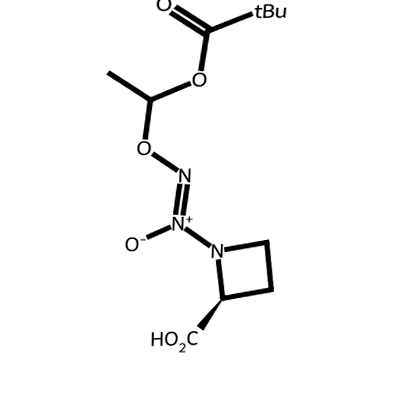 CC(O/N=[N+](\[O-])N1CC[C@H]1C(=O)O)OC(=O)C(C)(C)C